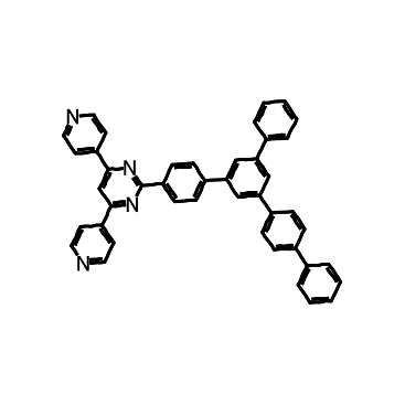 c1ccc(-c2ccc(-c3cc(-c4ccccc4)cc(-c4ccc(-c5nc(-c6ccncc6)cc(-c6ccncc6)n5)cc4)c3)cc2)cc1